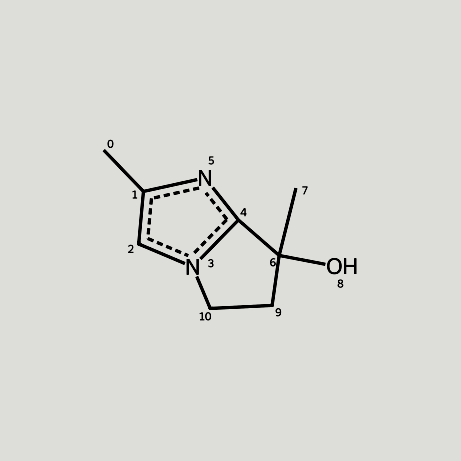 Cc1cn2c(n1)C(C)(O)CC2